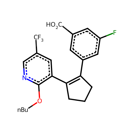 CCCCOc1ncc(C(F)(F)F)cc1C1=C(c2cc(F)cc(C(=O)O)c2)CCC1